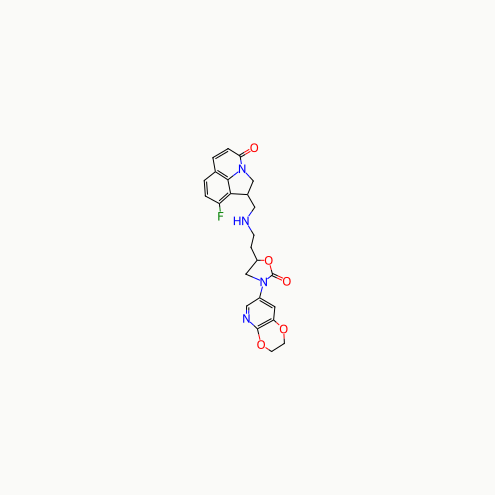 O=C1OC(CCNCC2Cn3c(=O)ccc4ccc(F)c2c43)CN1c1cnc2c(c1)OCCO2